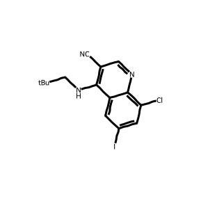 CC(C)(C)CNc1c(C#N)cnc2c(Cl)cc(I)cc12